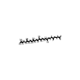 CC(C)=C/C=C/C(C)=C/C=C/C(C)=C/C=C/C=C(C)/C=C/C=C(C)/C=C/C=C(\C)CCC=C(C)C